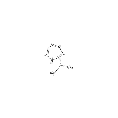 CCCCCCCCC(CCCCCCCC)C1=CC=CC=CN1